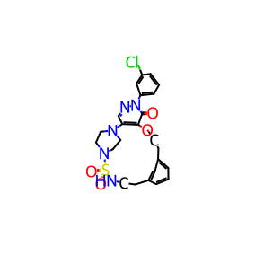 O=c1c2c(cnn1-c1cccc(Cl)c1)N1CCN(CC1)S(=O)(=O)NCCc1cccc(c1)CCO2